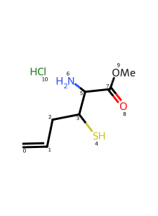 C=CCC(S)C(N)C(=O)OC.Cl